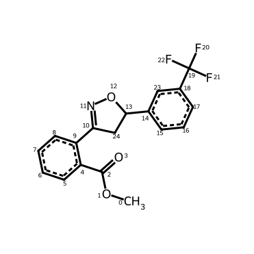 COC(=O)c1ccccc1C1=NOC(c2cccc(C(F)(F)F)c2)C1